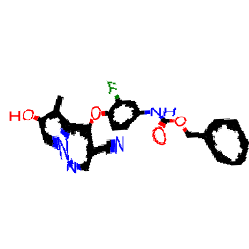 Cc1c(O)cn2ncc(C#N)c(Oc3ccc(NC(=O)OCc4ccccc4)cc3F)c12